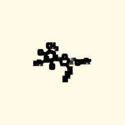 CCCOC[C@H]1O[C@@H](n2cc(C)c(=O)n(CCC)c2=O)C=C1N=[N+]=[N-]